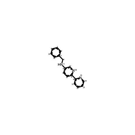 c1ccc(CNc2ccc(-c3ccccn3)nc2)cc1